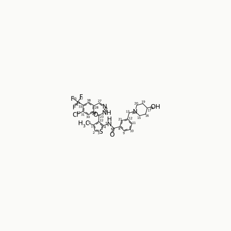 Cc1csc(NC(=O)c2cccc(CN3CCC(O)CC3)c2)c1C(=O)N/N=C\c1ccc(Cl)c(C(F)(F)F)c1